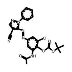 CC(=O)Nc1cc(N=Nc2c(C#N)cnn2-c2ccccc2)cc(Cl)c1OC(=O)OC(C)(C)C